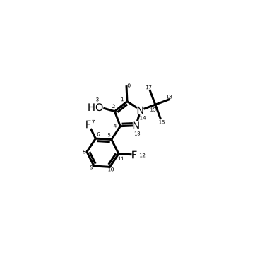 Cc1c(O)c(-c2c(F)cccc2F)nn1C(C)(C)C